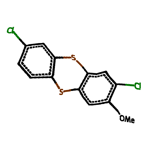 COc1cc2c(cc1Cl)Sc1cc(Cl)ccc1S2